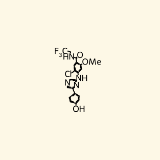 COc1cc(Nc2cncc(-c3ccc(O)cc3)n2)c(Cl)cc1C(=O)NCC(F)(F)F